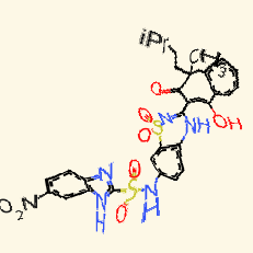 CC(C)CC[C@@]1(C)C(=O)C(C2=NS(=O)(=O)c3cc(NS(=O)(=O)c4nc5ccc([N+](=O)[O-])cc5[nH]4)ccc3N2)=C(O)c2ccccc21